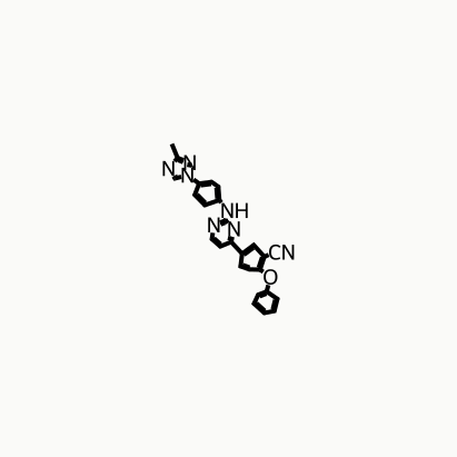 Cc1ncn(-c2ccc(Nc3nccc(-c4ccc(Oc5ccccc5)c(C#N)c4)n3)cc2)n1